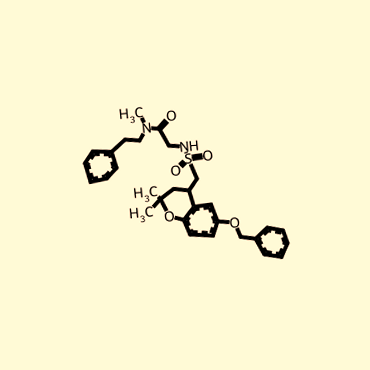 CN(CCc1ccccc1)C(=O)CNS(=O)(=O)CC1CC(C)(C)Oc2ccc(OCc3ccccc3)cc21